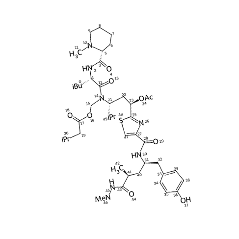 CCC(C)[C@H](NC(=O)[C@H]1CCCCN1C)C(=O)N(COC(=O)CC(C)C)[C@H](C[C@@H](OC(C)=O)c1nc(C(=O)N[C@@H](Cc2ccc(O)cc2)C[C@H](C)C(=O)NNC)cs1)C(C)C